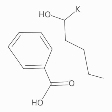 CCCC[CH](O)[K].O=C(O)c1ccccc1